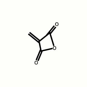 C=C1C(=O)OC1=O